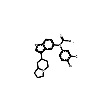 NC(=S)N(c1ccc(Br)c(Cl)c1)c1ccc2[nH]cc(C3CCN4CCCC4C3)c2c1